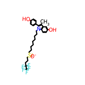 Cc1c(-c2ccc(O)cc2)n(CCCCCCCCC[S+]([O-])CCCC(F)(F)C(F)(F)F)c2ccc(O)cc12